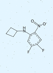 O=[N+]([O-])c1cc(F)c(F)cc1NC1CCC1